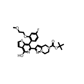 COCCOc1cc(F)ccc1-c1c(-c2cc3n(n2)CCN(C(=O)OC(C)(C)C)C3)nc(O)c2ccsc12